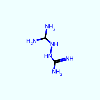 N=C(N)NNC(N)N